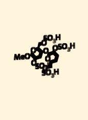 CO[C@@H]1O[C@@H](COS(=O)(=O)O)[C@@H](O[C@@H]2OC(COS(=O)(=O)O)CCC2OS(=O)(=O)O)CC1OS(=O)(=O)O